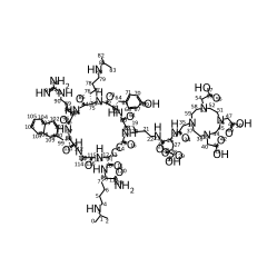 CC(C)NCCCC[C@H](NC(=O)[C@H]1CCC(=O)N[C@@H](CCCCNC(=O)C(CS(=O)(=O)O)NC(=O)CN2CCN(CC(=O)O)CCN(CC(=O)O)CCN(CC(=O)O)CC2)C(=O)N[C@@H](Cc2ccc(O)cc2)C(=O)N[C@@H](CCCCNC(C)C)C(=O)N[C@H](CCCNC(=N)N)C(=O)N[C@@H](Cc2ccc3ccccc3c2)C(=O)N[C@H](C)C(=O)N1)C(N)=O